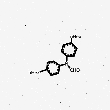 CCCCCCc1ccc(N([C]=O)c2ccc(CCCCCC)cc2)cc1